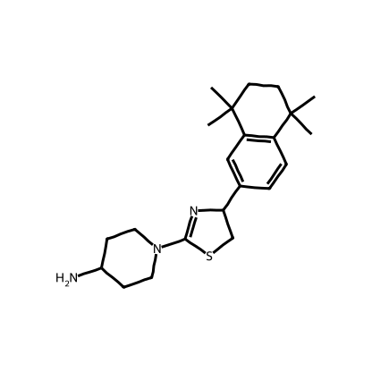 CC1(C)CCC(C)(C)c2cc(C3CSC(N4CCC(N)CC4)=N3)ccc21